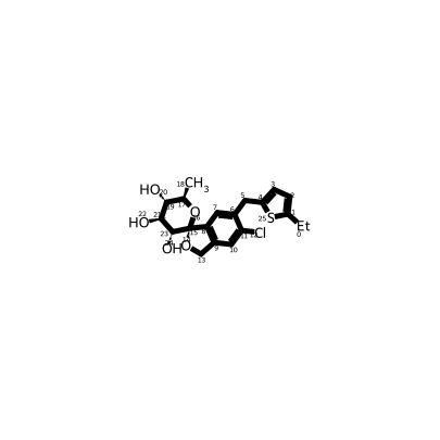 CCc1ccc(Cc2cc3c(cc2Cl)CO[C@]32O[C@H](C)[C@@H](O)[C@H](O)[C@H]2O)s1